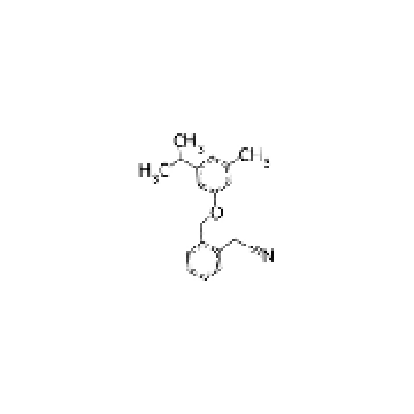 Cc1cc(OCc2ccccc2CC#N)cc(C(C)C)c1